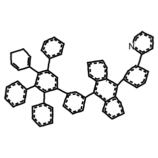 C1=CC(c2c(-c3ccccc3)cc(-c3cccc(-c4c5ccccc5c(-c5cccc(-c6ccccn6)c5)c5ccccc45)c3)c(-c3ccccc3)c2-c2ccccc2)=CCC1